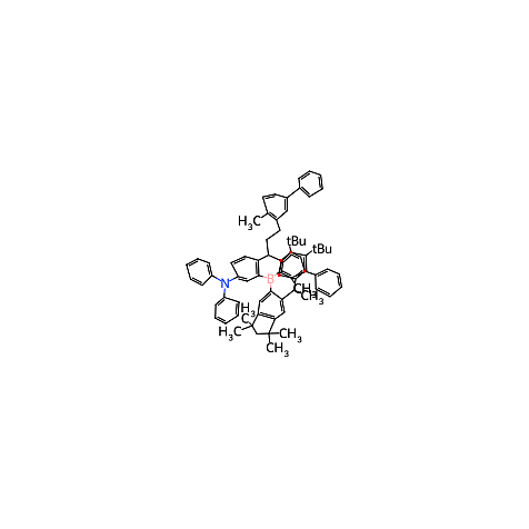 Cc1ccc(-c2ccccc2)cc1CCC1c2ccc(N(c3ccccc3)c3ccccc3)cc2B(c2cc3c(cc2C(C)c2ccc(C(C)(C)C)cc2-c2ccccc2)C(C)(C)CC3(C)C)c2c(C)cc(C(C)(C)C)cc21